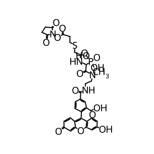 CN(CCNC(=O)c1ccc(-c2c3ccc(=O)cc-3oc3cc(O)ccc23)c(C(=O)O)c1)C(=O)C(NC(=O)CSCCC(=O)ON1C(=O)CCC1=O)P(=O)(O)O